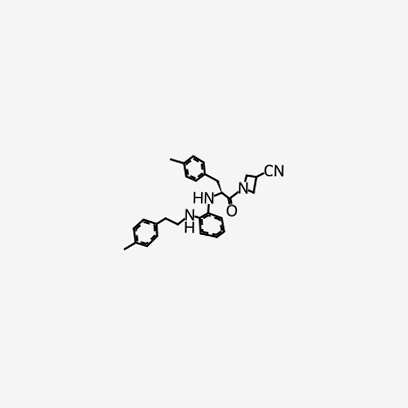 Cc1ccc(CCNc2ccccc2N[C@@H](Cc2ccc(C)cc2)C(=O)N2CC(C#N)C2)cc1